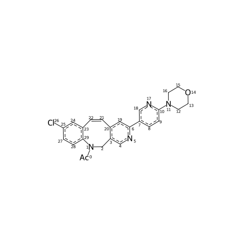 CC(=O)N1Cc2cnc(-c3ccc(N4CCOCC4)nc3)cc2C=Cc2cc(Cl)ccc21